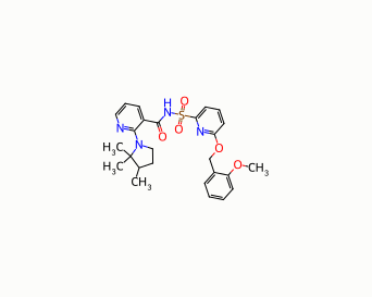 COc1ccccc1COc1cccc(S(=O)(=O)NC(=O)c2cccnc2N2CCC(C)C2(C)C)n1